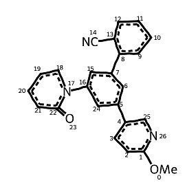 COc1ccc(-c2cc(-c3ccccc3C#N)cc(-n3ccccc3=O)c2)cn1